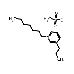 CCCCCCC[n+]1cccc(CCC)c1.CS(=O)(=O)[O-]